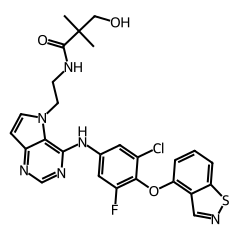 CC(C)(CO)C(=O)NCCn1ccc2ncnc(Nc3cc(F)c(Oc4cccc5sncc45)c(Cl)c3)c21